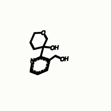 OCc1cccnc1C1(O)CCCOC1